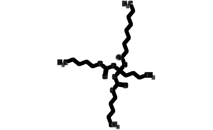 CCCCCCC[CH2][Sn][O]C(CCCC)(OC(=O)OCCCCC)OC(=O)OCCCCC